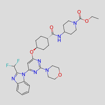 CCOC(=O)N1CCC(NC(=O)[C@H]2CC[C@H](Oc3cc(-n4c(C(F)F)nc5ccccc54)nc(N4CCOCC4)n3)CC2)CC1